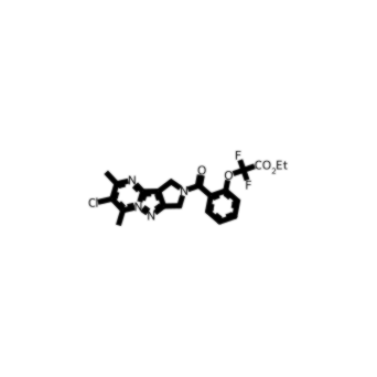 CCOC(=O)C(F)(F)Oc1ccccc1C(=O)N1Cc2nn3c(C)c(Cl)c(C)nc3c2C1